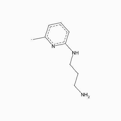 [CH2]c1cccc(NCCCN)n1